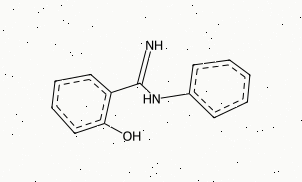 N=C(Nc1ccccc1)c1ccccc1O